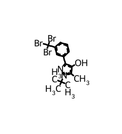 Cc1c(O)c(-c2cccc(C(Br)(Br)Br)c2)nn1C(C)(C)C